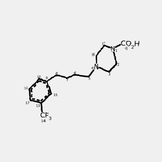 O=C(O)N1CCN(CCCCc2cccc(C(F)(F)F)c2)CC1